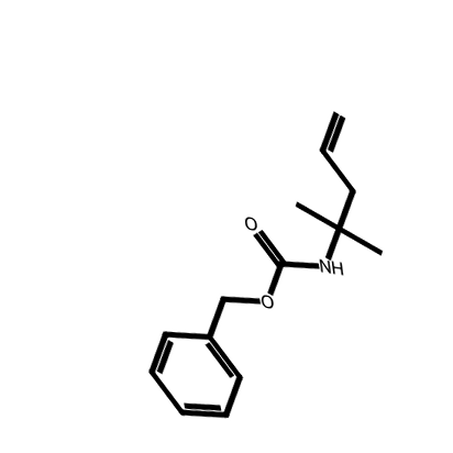 C=CCC(C)(C)NC(=O)OCc1ccccc1